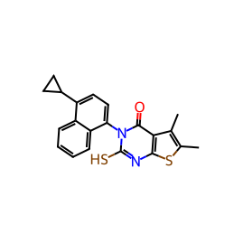 Cc1sc2nc(S)n(-c3ccc(C4CC4)c4ccccc34)c(=O)c2c1C